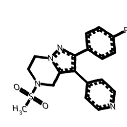 CS(=O)(=O)N1CCn2nc(-c3ccc(F)cc3)c(-c3ccncc3)c2C1